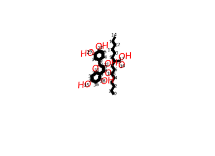 CCCCCCCCC(CCCCCC)C(=O)O.O=c1c(O)c(-c2ccc(O)c(O)c2)oc2cc(O)cc(O)c12